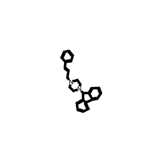 C(=C\c1ccccc1)/CN1CCN(C2c3ccccc3-c3ccccc32)CC1